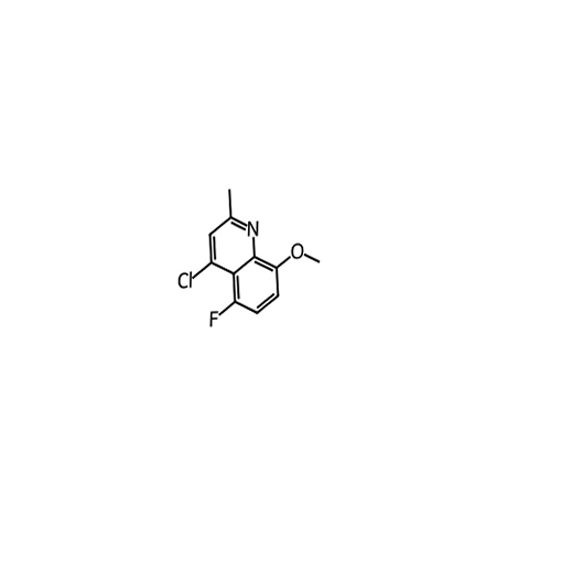 COc1ccc(F)c2c(Cl)cc(C)nc12